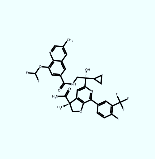 Cc1cnc2c(OC(F)F)cc(C(=O)NC[C@](O)(c3cc4c(c(-c5ccc(F)c(C(F)(F)F)c5)n3)OC[C@]4(C)C(N)=O)C3CC3)cc2c1